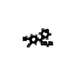 CCOC(=O)C(c1ccc(Br)c(F)c1)N1CCOCC1